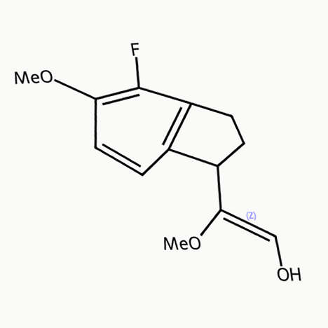 CO/C(=C\O)C1CCc2c1ccc(OC)c2F